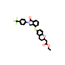 CCOC(=O)CC1CCc2cc(Sc3cccc4c3CN(c3ccc(C(F)(F)F)cc3)C4=O)ccc2O1